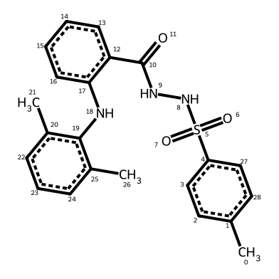 Cc1ccc(S(=O)(=O)NNC(=O)c2ccccc2Nc2c(C)cccc2C)cc1